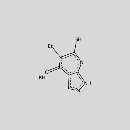 CCn1c(S)nc2[nH]ncc2c1=O.[KH]